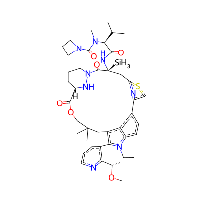 CCn1c(-c2cccnc2[C@H](C)OC)c2c3cc(ccc31)-c1csc(n1)C[C@@]([SiH3])(NC(=O)[C@H](C(C)C)N(C)C(=O)N1CCC1)C(=O)N1CCC[C@H](N1)C(=O)OCC(C)(C)C2